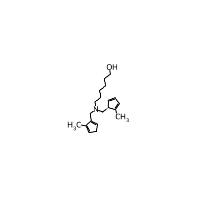 CC1=CCC=C1CN(CCCCCCO)C[C@H]1C=CC=C1C